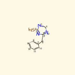 Sc1ncnc(Cc2ccccc2)n1